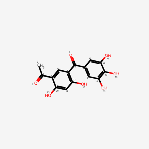 CC(=O)c1cc(C(=O)c2cc(O)c(O)c(O)c2)c(O)cc1O